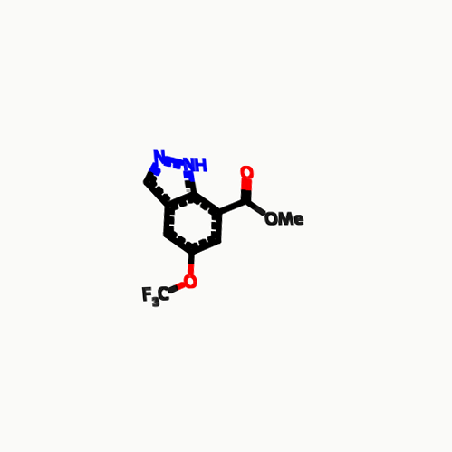 COC(=O)c1cc(OC(F)(F)F)cc2cn[nH]c12